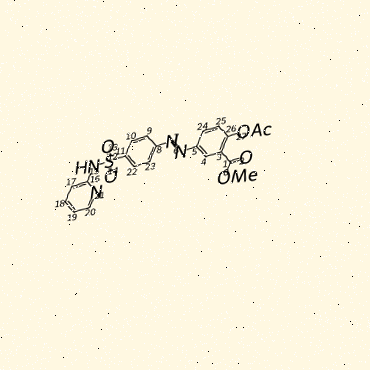 COC(=O)c1cc(/N=N/c2ccc(S(=O)(=O)Nc3ccccn3)cc2)ccc1OC(C)=O